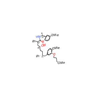 COCCCOc1cc(C[C@@H](CC[C@@H](O)C[C@H](C(=O)N[C@@H](C)c2cccc(OC)c2)C(C)C)C(C)C)ccc1OC